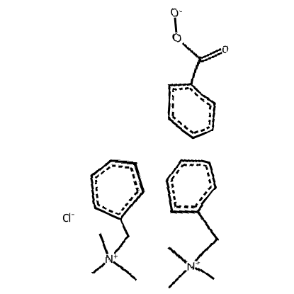 C[N+](C)(C)Cc1ccccc1.C[N+](C)(C)Cc1ccccc1.O=C(O[O-])c1ccccc1.[Cl-]